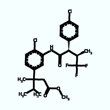 COC(=O)CC(C)(c1ccc(Cl)c(NC(=O)[C@H](c2ccc(Cl)cc2)[C@@H](C)C(F)(F)F)c1)C(C)C